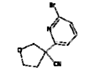 N#CC1(c2cccc(Br)n2)CCOC1